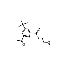 COCCOC(=O)c1cc(C(C)=O)cc(C(C)(C)C)c1